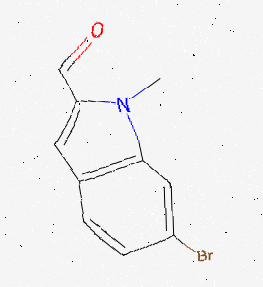 Cn1c(C=O)cc2ccc(Br)cc21